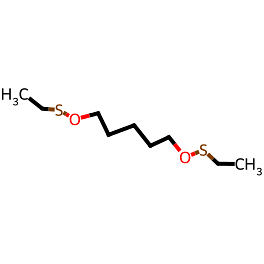 CCSOCCCCCOSCC